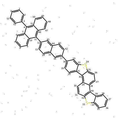 c1ccc(-c2c3ccccc3c(-c3ccc4cc(-c5ccc6c(c5)sc5ccc7c(ccc8sc9ccccc9c87)c56)ccc4c3)c3ccccc23)cc1